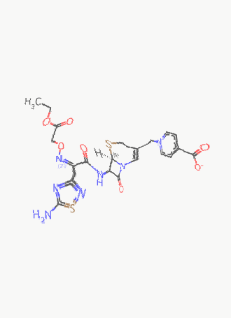 CCOC(=O)CO/N=C(\C(=O)NC1C(=O)N2C=C(C[n+]3ccc(C(=O)[O-])cc3)CS[C@H]12)c1nsc(N)n1